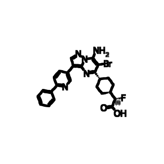 Nc1c(Br)c([C@H]2CC[C@H]([C@H](F)C(=O)O)CC2)nc2c(-c3ccc(-c4ccccc4)nc3)cnn12